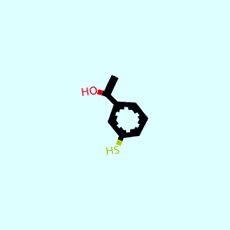 C=C(O)c1cccc(S)c1